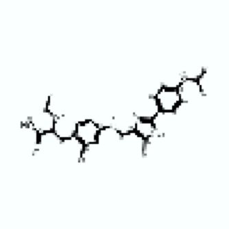 CCOC(Cc1ccc(OCc2nc(-c3ccc(OC(C)C)cc3)oc2C)cc1C)C(=O)O